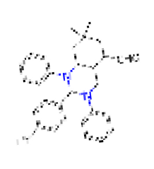 CC(C)c1ccc(C2N(c3ccccc3)CC3C(C=O)CC(C)(C)CC3N2c2ccccc2)cc1